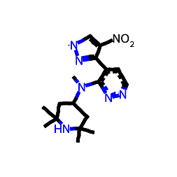 CN(c1nnccc1C1=N[N]C=C1[N+](=O)[O-])C1CC(C)(C)NC(C)(C)C1